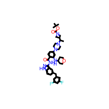 CC(C1CN(C(=O)OC(C)(C)C)C1)N1CCN(c2ccc(C(=O)Nc3n[nH]c4ccc(Cc5cc(F)cc(F)c5)cc34)c(NC3CCOCC3)c2)CC1